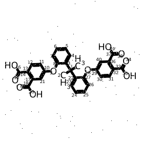 CC(C)(c1ccccc1Oc1ccc(C(=O)O)c(C(=O)O)c1)c1ccccc1Oc1ccc(C(=O)O)c(C(=O)O)c1